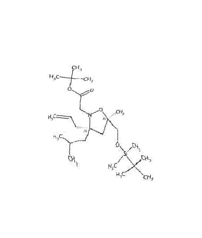 C=CC[C@@]1(CC(C)C)C[C@](C)(CO[Si](C)(C)C(C)(C)C)ON1CC(=O)OC(C)(C)C